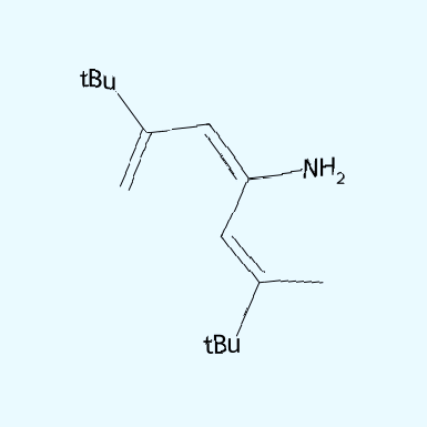 C=C(/C=C(N)\C=C(/C)C(C)(C)C)C(C)(C)C